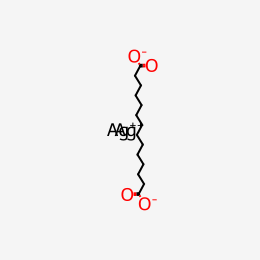 O=C([O-])CCCCCCCCCCCCC(=O)[O-].[Ag+].[Ag+]